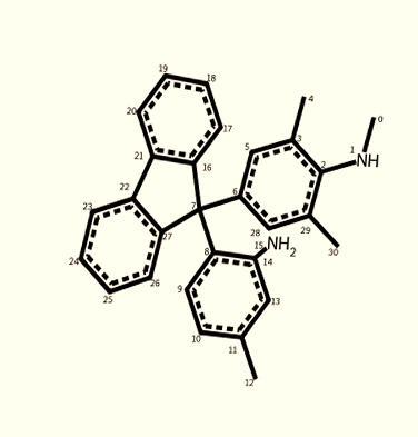 CNc1c(C)cc(C2(c3ccc(C)cc3N)c3ccccc3-c3ccccc32)cc1C